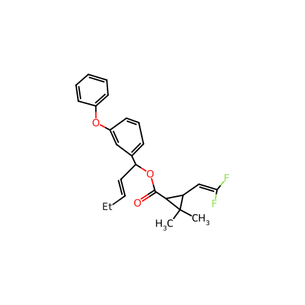 CCC=CC(OC(=O)C1C(C=C(F)F)C1(C)C)c1cccc(Oc2ccccc2)c1